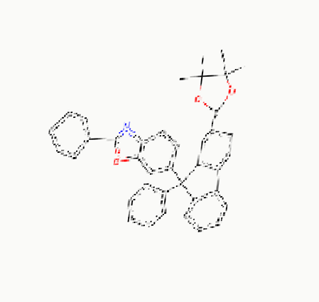 CC1(C)OB(c2ccc3c(c2)C(c2ccccc2)(c2ccc4nc(-c5ccccc5)oc4c2)c2ccccc2-3)OC1(C)C